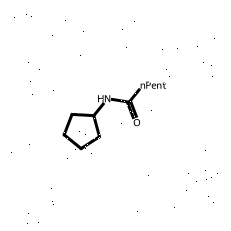 CCCCCC(=O)NC1CCCC1